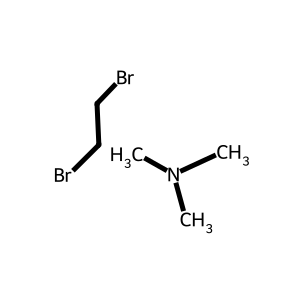 BrCCBr.CN(C)C